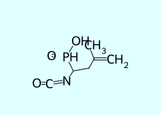 C=C(C)CC(N=C=O)[PH](=O)O